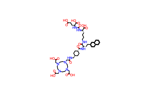 O=C(O)CC[C@H](NC(=O)N[C@@H](CCCCNC(=O)[C@H](CCc1ccc2ccccc2c1)NC(=O)[C@H]1CC[C@H](CNC(=O)CN2CCN(CC(=O)O)CCN(CC(=O)O)CCN(CC(=O)O)CC2)CC1)C(=O)O)C(=O)O